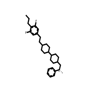 CCCc1c(F)cc(CCC2CCC(C3CCC(C[C@H](C)c4ccccc4)CC3)CC2)cc1F